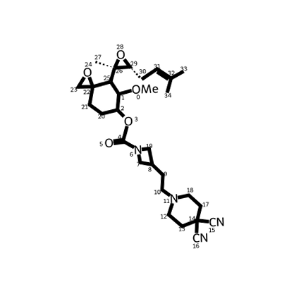 COC1C(OC(=O)N2CC(CCN3CCC(C#N)(C#N)CC3)C2)CCC2(CO2)C1[C@@]1(C)O[C@@H]1CC=C(C)C